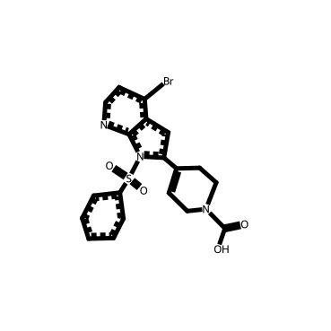 O=C(O)N1CC=C(c2cc3c(Br)ccnc3n2S(=O)(=O)c2ccccc2)CC1